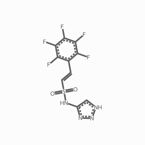 O=S(=O)(C=Cc1c(F)c(F)c(F)c(F)c1F)Nc1c[nH]nn1